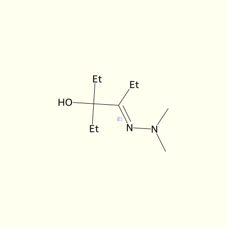 CC/C(=N\N(C)C)C(O)(CC)CC